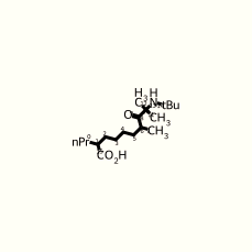 CCCC(CCCCC(C)C(=O)C(C)(C)NC(C)(C)C)C(=O)O